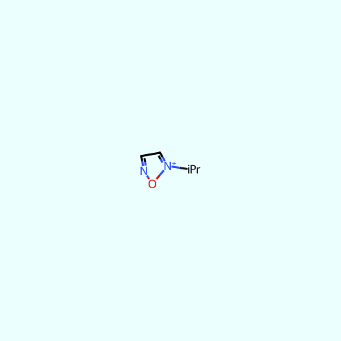 CC(C)[n+]1ccno1